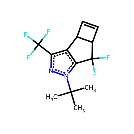 CC(C)(C)n1nc(C(F)(F)F)c2c1C(F)(F)C1C=CC21